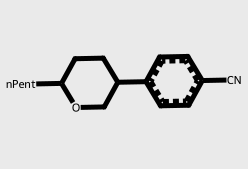 CCCCCC1CCC(c2ccc(C#N)cc2)CO1